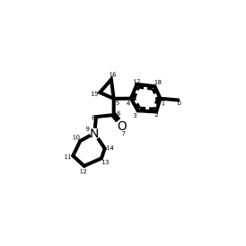 Cc1ccc(C2(C(=O)CN3CCCCC3)CC2)cc1